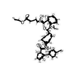 CCOC(=O)CCC[N+](O)=Cc1ccccc1N(C)C(=O)c1ccc(NC(=O)c2ccccc2-c2ccc(C)cc2)cc1